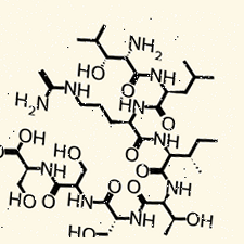 C=C(N)NCCC[C@@H](NC(=O)[C@H](CC(C)C)NC(=O)[C@@H](N)[C@H](O)C(C)C)C(=O)N[C@H](C(=O)N[C@H](C(=O)N[C@H](CO)C(=O)NC(CO)C(=O)N[C@@H](CO)C(=O)O)[C@H](C)O)[C@@H](C)CC